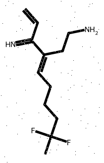 C=CC(=N)/C(=C/CCCC(C)(F)F)CCN